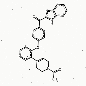 CC(=O)N1CC=C(c2cncnc2Oc2ccc(C(=O)c3nc4ccccc4[nH]3)cc2)CC1